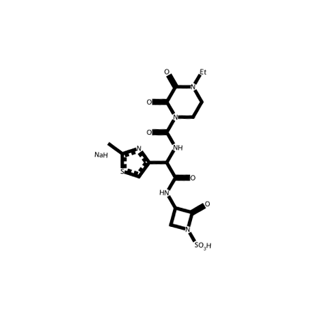 CCN1CCN(C(=O)NC(C(=O)NC2CN(S(=O)(=O)O)C2=O)c2csc(C)n2)C(=O)C1=O.[NaH]